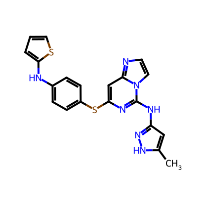 Cc1cc(Nc2nc(Sc3ccc(Nc4cccs4)cc3)cc3nccn23)n[nH]1